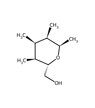 C[C@H]1[C@@H](C)[C@@H](C)O[C@H](CO)[C@H]1C